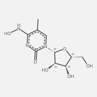 Cc1cn([C@@H]2O[C@H](CO)[C@@H](O)[C@H]2O)c(=O)nc1NO